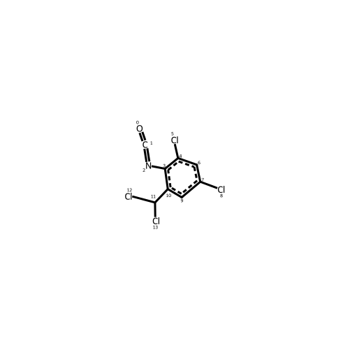 O=C=Nc1c(Cl)cc(Cl)cc1C(Cl)Cl